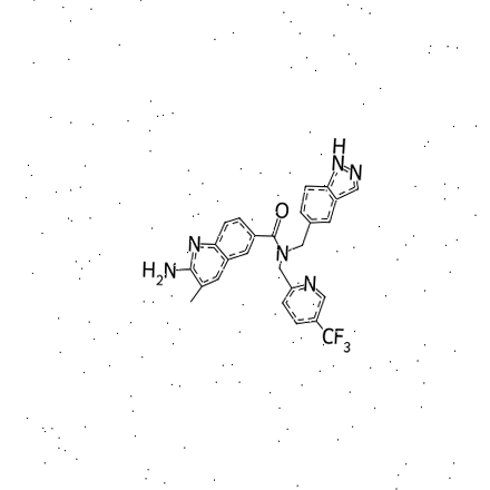 Cc1cc2cc(C(=O)N(Cc3ccc4[nH]ncc4c3)Cc3ccc(C(F)(F)F)cn3)ccc2nc1N